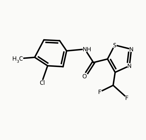 Cc1ccc(NC(=O)c2snnc2C(F)F)cc1Cl